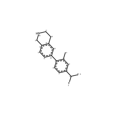 Cc1cc(C(F)F)ccc1-c1ccc2c(c1)CCNC2